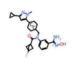 Cn1nc(C2CC2)cc1C12CCC(CN(C(=O)C34CC(F)(C3)C4)c3cccc(/C(N)=N/O)c3)(CC1)CC2